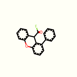 O=C(F)C1c2ccccc2Oc2cccc(-c3ccccc3)c21